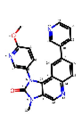 COc1ccc(-n2c(=O)n(C)c3cnc4ccc(-c5cccnc5)cc4c32)cn1